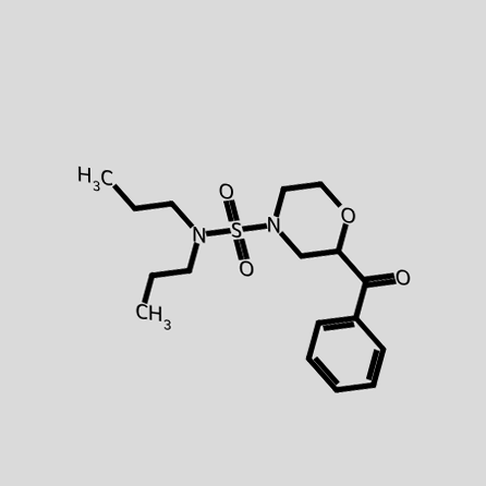 CCCN(CCC)S(=O)(=O)N1CCOC(C(=O)c2ccccc2)C1